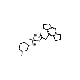 CN1CCCC(NS(N)(=O)=NC(=O)Cc2c3c(cc4c2CCC4)CCC3)C1